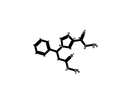 COC(=O)CC(c1ccccc1)n1cnc(C(=O)OC)c1